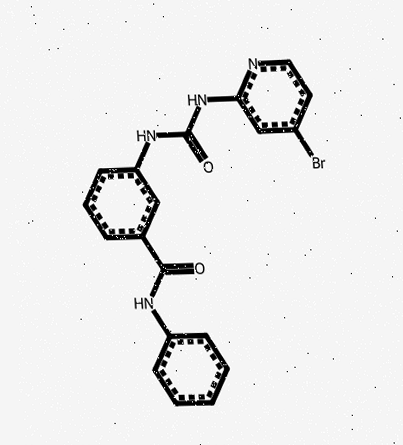 O=C(Nc1cccc(C(=O)Nc2ccccc2)c1)Nc1cc(Br)ccn1